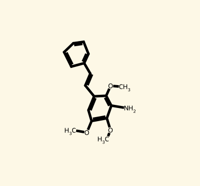 COc1cc(C=Cc2ccccc2)c(OC)c(N)c1OC